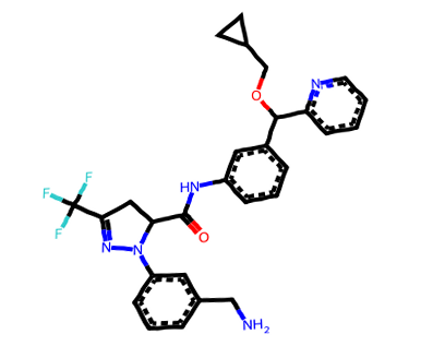 NCc1cccc(N2N=C(C(F)(F)F)CC2C(=O)Nc2cccc(C(OCC3CC3)c3ccccn3)c2)c1